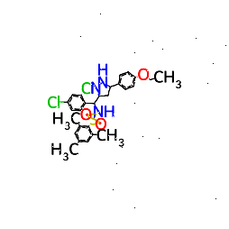 CCOc1ccc(C2CC(C(NS(=O)(=O)c3c(C)cc(C)cc3C)c3ccc(Cl)cc3Cl)=NN2)cc1